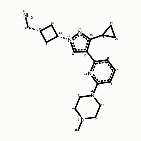 CN1CCN(c2cccc(-c3cn([C@H]4C[C@@H](CN)C4)nc3C3CC3)n2)CC1